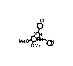 COc1cc2nc(-c3ccc(Cl)cc3)nc(NCc3cccnc3)c2cc1OC